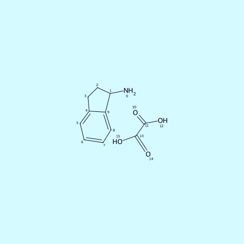 NC1CCc2ccccc21.O=C(O)C(=O)O